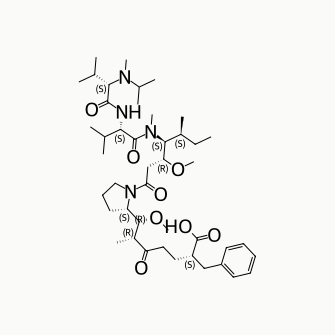 CC[C@H](C)[C@@H]([C@@H](CC(=O)N1CCC[C@H]1[C@H](OC)[C@@H](C)C(=O)CC[C@@H](Cc1ccccc1)C(=O)O)OC)N(C)C(=O)[C@@H](NC(=O)[C@H](C(C)C)N(C)C(C)C)C(C)C